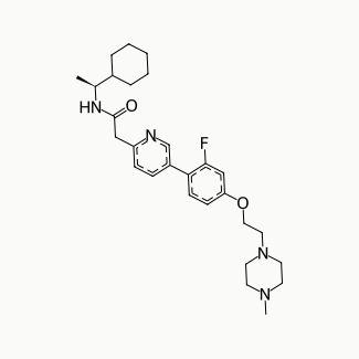 C[C@H](NC(=O)Cc1ccc(-c2ccc(OCCN3CCN(C)CC3)cc2F)cn1)C1CCCCC1